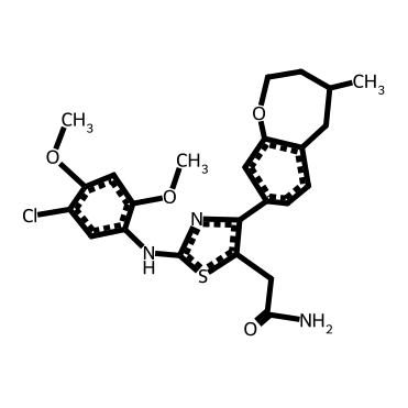 COc1cc(OC)c(Nc2nc(-c3ccc4c(c3)OCCC(C)C4)c(CC(N)=O)s2)cc1Cl